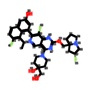 CCc1c(F)ccc2cc(O)cc(-c3ncc4c(N5CCC(O)(CO)CC5)nc(OCC56CCCN5C[C@H](F)C6)nc4c3F)c12